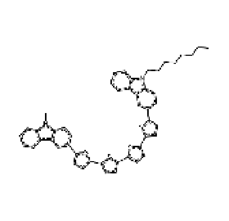 CCCCCCCCn1c2ccccc2c2cc(-c3ccc(-c4ccc(-c5ccc(-c6ccc(-c7ccc8c(c7)c7ccccc7n8C)s6)s5)s4)s3)ccc21